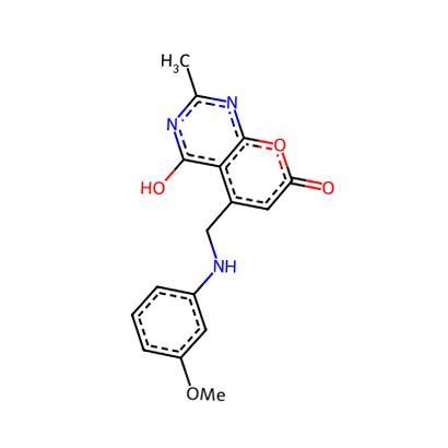 COc1cccc(NCc2cc(=O)oc3nc(C)nc(O)c23)c1